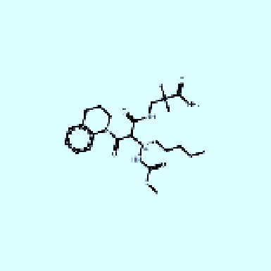 CCCCC[C@H](NC(=O)OC)C(C(=O)NCC(C)(C)C(N)=O)C(=O)N1CCCc2ccccc21